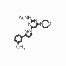 CC(=O)Nc1nc(N2CCOCC2)cc(-n2ccc(-c3cccc(C)c3)n2)n1